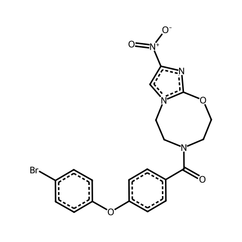 O=C(c1ccc(Oc2ccc(Br)cc2)cc1)N1CCOc2nc([N+](=O)[O-])cn2CC1